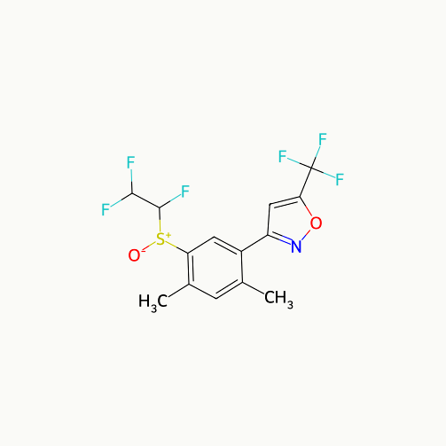 Cc1cc(C)c([S+]([O-])C(F)C(F)F)cc1-c1cc(C(F)(F)F)on1